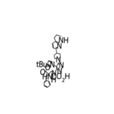 CC(C)(C)OC(=O)C(CNc1ncnc(N2CCC(c3ccc4c(n3)NCCC4)CC2)c1-n1cccc1)(Cc1ccccc1)NC(=O)O